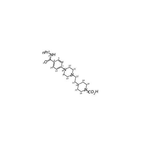 CCCNC(=O)c1ccc(N2CCN(CCC3CCN(C(=O)O)CC3)CC2)cc1